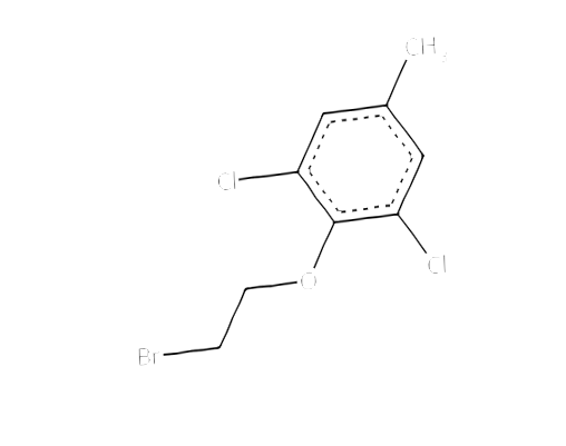 Cc1cc(Cl)c(OCCBr)c(Cl)c1